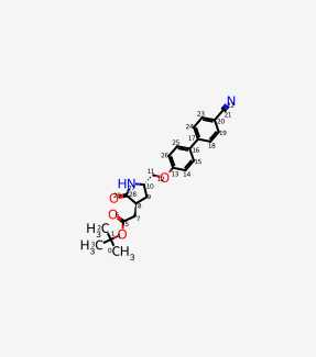 CC(C)(C)OC(=O)C[C@@H]1C[C@@H](COc2ccc(-c3ccc(C#N)cc3)cc2)NC1=O